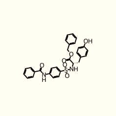 O=C(Nc1ccc(S(=O)(=O)N[C@@H](Cc2ccc(O)cc2)C(=O)OCc2ccccc2)cc1)c1ccccc1